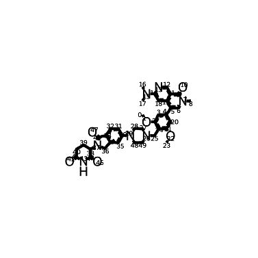 COc1cc(-c2cn(C)c(=O)c3cnc(N(C)C)cc23)cc(OC)c1CN1CCN(c2ccc3c(c2)CN(C2CCC(=O)NC2=O)C3=O)CC1